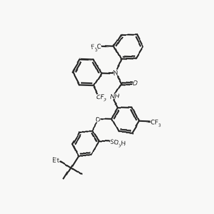 CCC(C)(C)c1ccc(Oc2ccc(C(F)(F)F)cc2NC(=O)N(c2ccccc2C(F)(F)F)c2ccccc2C(F)(F)F)c(S(=O)(=O)O)c1